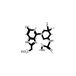 CCOC(=O)Cc1nc2c(N3CC(NC(=O)OC(C)(C)C)CC(F)(F)C3)nc(Cl)cc2[nH]1